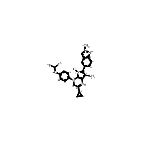 Cn1cc2cc(-c3c(N)c4c([s+]3[O-])N(c3ccc(OC(F)F)cc3)CC(C3CC3)=N4)ccc2n1